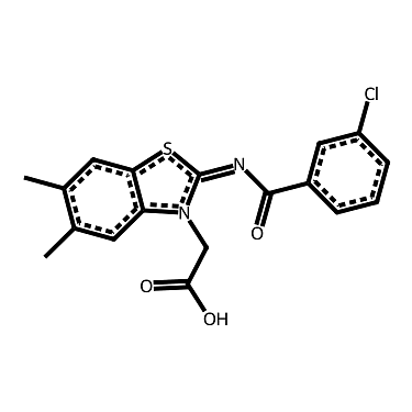 Cc1cc2sc(=NC(=O)c3cccc(Cl)c3)n(CC(=O)O)c2cc1C